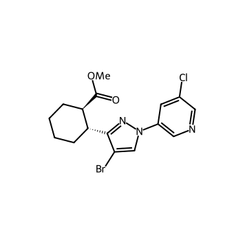 COC(=O)[C@@H]1CCCC[C@H]1c1nn(-c2cncc(Cl)c2)cc1Br